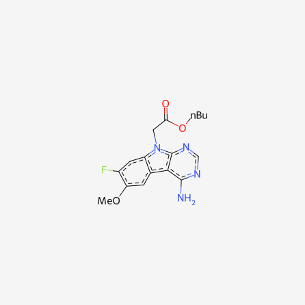 CCCCOC(=O)Cn1c2cc(F)c(OC)cc2c2c(N)ncnc21